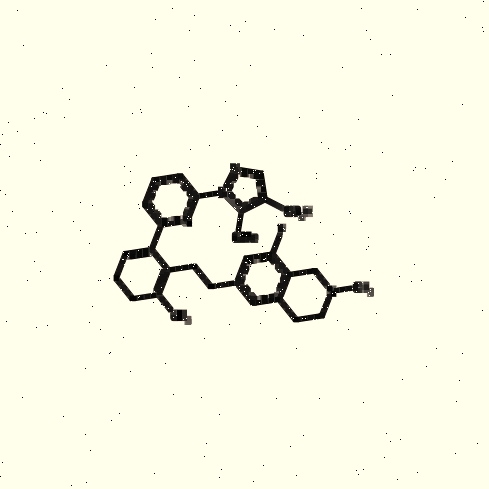 COc1c(C(=O)O)cnn1-c1cccc(C2=CCCC(C)=C2CCc2cc(F)c3c(c2)CCN(C)C3)n1